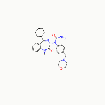 CN1C(=O)[C@@H](N(C(N)=O)c2ccc(CN3CCOCC3)cc2)N=C(C2CCCCC2)c2ccccc21